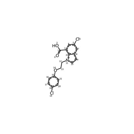 O=C(O)c1cc(Cl)cc2ccn(CCOc3ccc(Cl)cc3)c12